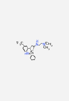 CN(C)CCN[C@H]1CC2c3cc(C(F)(F)F)ccc3N[C@@H](c3ccccc3)[C@@H]2C1